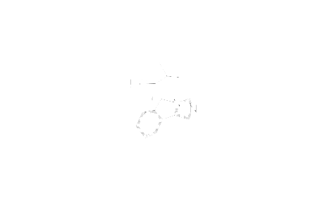 CC(C)C(O)[C@H]1c2ccccc2-c2cncn21